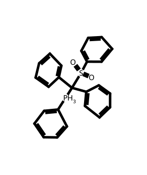 O=S(=O)(c1ccccc1)C([PH3]c1ccccc1)(c1ccccc1)c1ccccc1